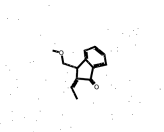 C/C=C1\C(=O)c2ccccc2C1COC